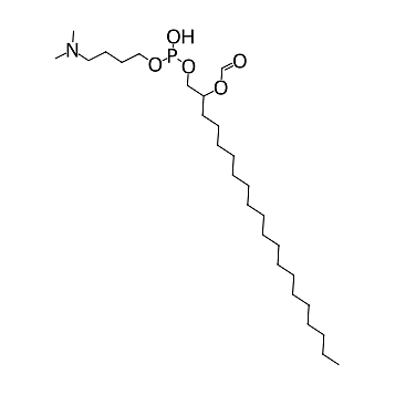 CCCCCCCCCCCCCCCCCCC(COP(O)OCCCCN(C)C)OC=O